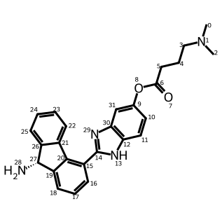 CN(C)CCCC(=O)Oc1ccc2[nH]c(-c3cccc4c3-c3ccccc3[C@H]4N)nc2c1